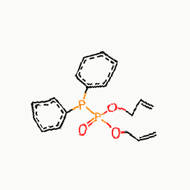 C=CCOP(=O)(OCC=C)P(c1ccccc1)c1ccccc1